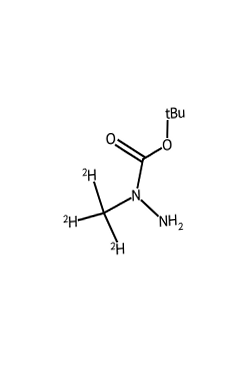 [2H]C([2H])([2H])N(N)C(=O)OC(C)(C)C